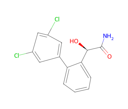 NC(=O)[C@H](O)c1ccccc1-c1cc(Cl)cc(Cl)c1